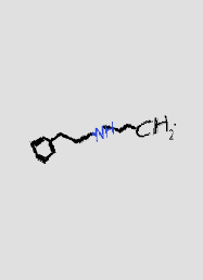 [CH2]CCCNCCCc1ccccc1